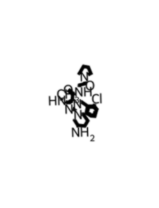 CNc1nc(N2CCC[C@@H](N)C2)n(Cc2ccccc2Cl)c1C(=O)NCC(=O)N1CCCC1